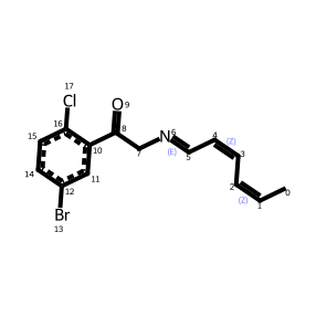 C\C=C/C=C\C=N\CC(=O)c1cc(Br)ccc1Cl